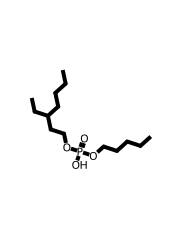 CCCCCOP(=O)(O)OCCC(CC)CCCC